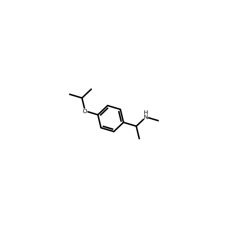 CNC(C)c1ccc(OC(C)C)cc1